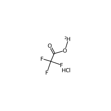 Cl.[2H]OC(=O)C(F)(F)F